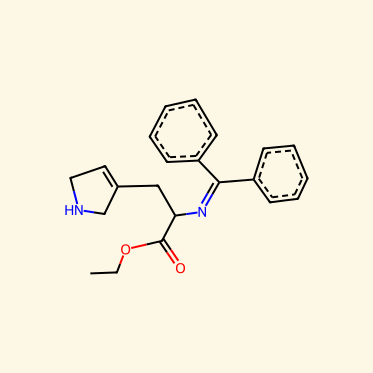 CCOC(=O)C(CC1=CCNC1)N=C(c1ccccc1)c1ccccc1